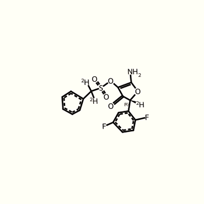 [2H]C([2H])(c1ccccc1)S(=O)(=O)OC1=C(N)O[C@]([2H])(c2cc(F)ccc2F)C1=O